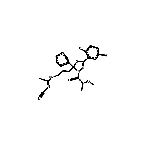 CON(C)C(=O)N1N=C(c2cc(F)ccc2F)SC1(CCCNC(C)=NC#N)c1ccccc1